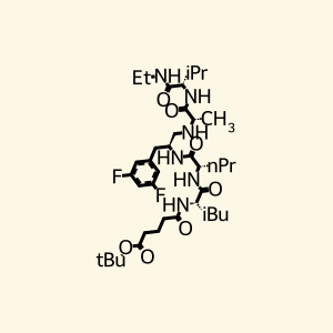 CCC[C@H](NC(=O)[C@@H](NC(=O)CCCC(=O)OC(C)(C)C)[C@@H](C)CC)C(=O)N[C@H](CN[C@@H](C)C(=O)N[C@H](C(=O)NCC)C(C)C)Cc1cc(F)cc(F)c1